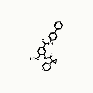 O=C(Nc1ccc(-c2ccccc2)cc1)c1ccc(OO)c(NC(=O)C2(N3CCOCC3)CC2)c1